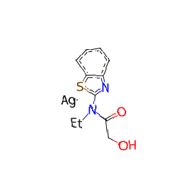 CCN(C(=O)CO)c1nc2ccccc2s1.[Ag]